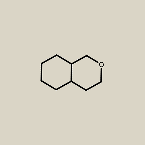 [CH]1OCCC2CCCCC12